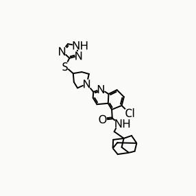 O=C(NCC12CC3CC(CC(C3)C1)C2)c1c(Cl)ccc2nc(N3CCC(Sc4nc[nH]n4)CC3)ccc12